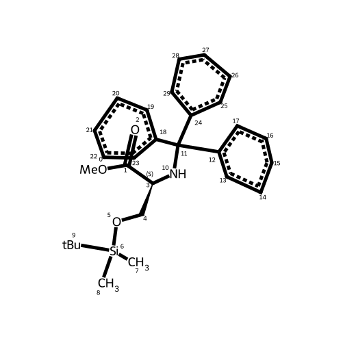 COC(=O)[C@H](CO[Si](C)(C)C(C)(C)C)NC(c1ccccc1)(c1ccccc1)c1ccccc1